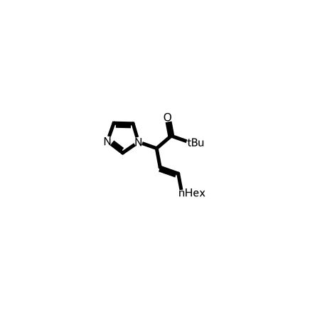 CCCCCCC=CC(C(=O)C(C)(C)C)n1ccnc1